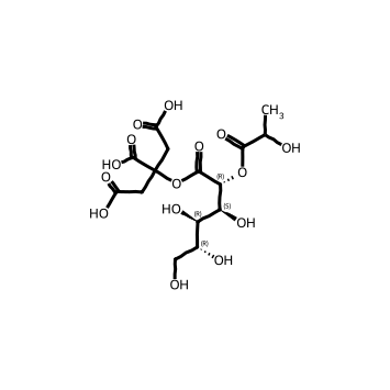 CC(O)C(=O)O[C@@H](C(=O)OC(CC(=O)O)(CC(=O)O)C(=O)O)[C@@H](O)[C@H](O)[C@H](O)CO